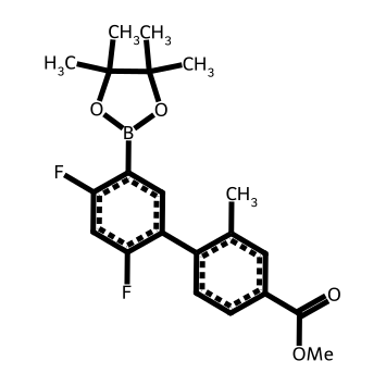 COC(=O)c1ccc(-c2cc(B3OC(C)(C)C(C)(C)O3)c(F)cc2F)c(C)c1